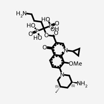 COc1c(N2C[C@@H](C)C[C@H](N)C2)ccc2c(=O)c(C(=O)OC(CCCN)(P(=O)(O)O)P(=O)(O)O)cn(C3CC3)c12